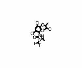 Cc1nn(-c2cc(OC(C)C(=O)Cl)c(Cl)cc2Cl)c(=O)n1C(F)F